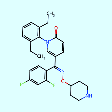 CCc1cccc(CC)c1-n1cc(C(=NOC2CCNCC2)c2ccc(F)cc2F)ccc1=O